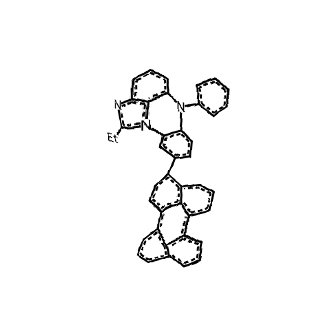 CCc1nc2cccc3c2n1-c1cc(-c2ccc4c5cccc6cccc(c7cccc2c74)c65)ccc1N3c1ccccc1